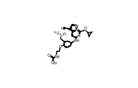 C[S+]([O-])Cc1cc(Nc2cc3c(C#N)cnn3c(NC3CC3)n2)ccc1OCCNC(=O)O